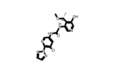 CO[C@H](C)c1c(O)cncc1NC(=O)Nc1cnc(-n2nccn2)c(Cl)c1